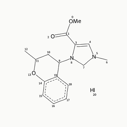 COC(=O)C1=CN(C)CN1C1CC(C)Oc2ccccc21.I